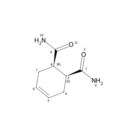 NC(=O)[C@H]1CC=CC[C@H]1C(N)=O